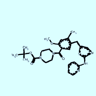 COc1cc(C)c(Cc2cnc(Nc3ccccn3)s2)cc1C(=O)N1CCN(C(=O)OC(C)(C)C)CC1